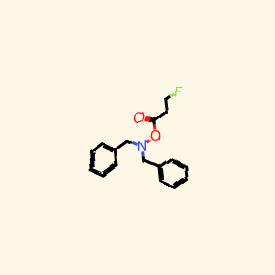 O=C(CCF)ON(Cc1ccccc1)Cc1ccccc1